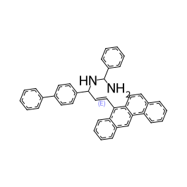 NC(NC(/C=C/c1c2ccccc2cc2c1ccc1ccccc12)c1ccc(-c2ccccc2)cc1)c1ccccc1